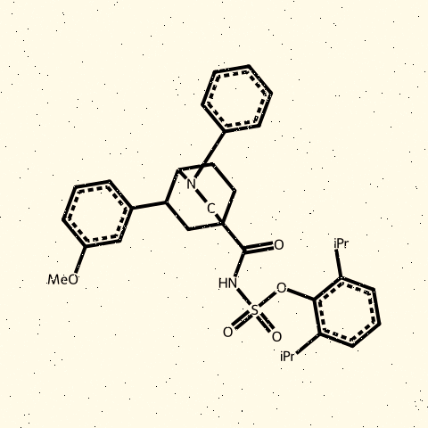 COc1cccc(C2CC3(C(=O)NS(=O)(=O)Oc4c(C(C)C)cccc4C(C)C)CCC2N(c2ccccc2)C3)c1